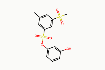 Cc1cc(S(C)(=O)=O)cc(S(=O)(=O)Oc2cccc(O)c2)c1